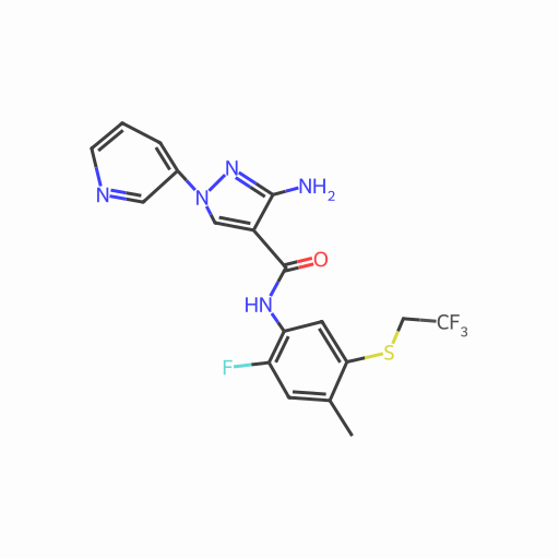 Cc1cc(F)c(NC(=O)c2cn(-c3cccnc3)nc2N)cc1SCC(F)(F)F